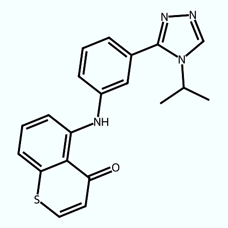 CC(C)n1cnnc1-c1cccc(Nc2cccc3sccc(=O)c23)c1